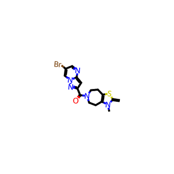 C=C1SC2=C(CCN(C(=O)c3cc4ncc(Br)cn4n3)CC2)N1C